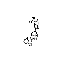 CC(C)(Nc1ncc(-c2cn3c(n2)CC=C3C(N)=O)cn1)c1ncccc1Cl